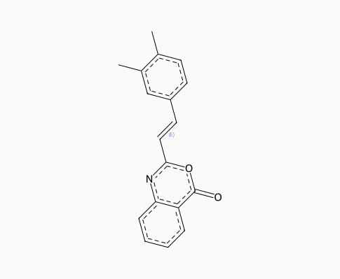 Cc1ccc(/C=C/c2nc3ccccc3c(=O)o2)cc1C